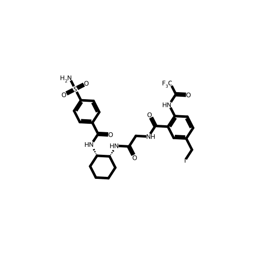 NS(=O)(=O)c1ccc(C(=O)N[C@H]2CCCC[C@H]2NC(=O)CNC(=O)c2cc(CI)ccc2NC(=O)C(F)(F)F)cc1